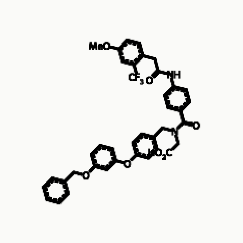 COc1ccc(CC(=O)Nc2ccc(C(=O)N(CC(=O)O)Cc3ccc(Oc4cccc(OCc5ccccc5)c4)cc3)cc2)c(C(F)(F)F)c1